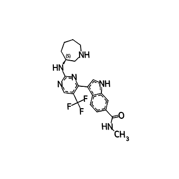 CNC(=O)c1ccc2c(-c3nc(N[C@H]4CCCCNC4)ncc3C(F)(F)F)c[nH]c2c1